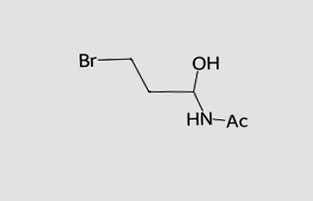 CC(=O)NC(O)CCBr